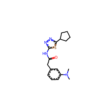 CN(C)c1cccc(CC(=O)Nc2nnc(C3CCCC3)s2)c1